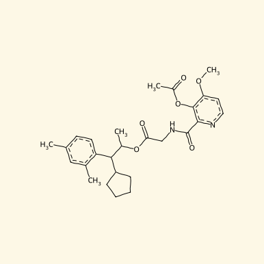 COc1ccnc(C(=O)NCC(=O)OC(C)C(c2ccc(C)cc2C)C2CCCC2)c1OC(C)=O